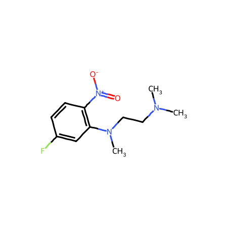 CN(C)CCN(C)c1cc(F)ccc1[N+](=O)[O-]